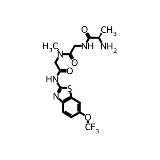 C[C@@H](N)C(=O)NCC(=O)N(C)CC(=O)Nc1nc2ccc(OC(F)(F)F)cc2s1